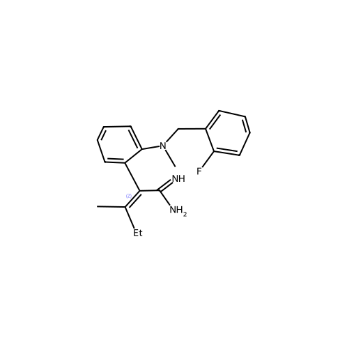 CC/C(C)=C(\C(=N)N)c1ccccc1N(C)Cc1ccccc1F